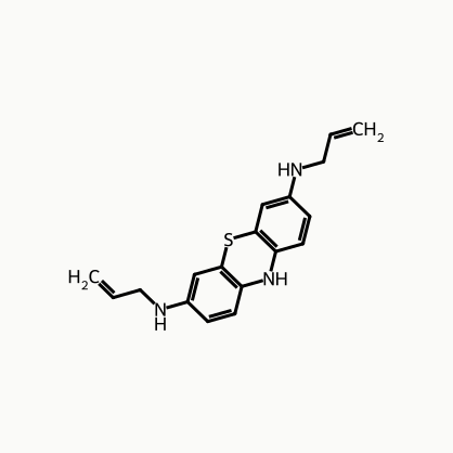 C=CCNc1ccc2c(c1)Sc1cc(NCC=C)ccc1N2